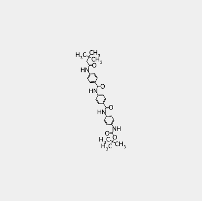 CC(C)(C)CC(=O)Nc1ccc(C(=O)Nc2ccc(C(=O)Nc3ccc(NC(=O)OC(C)(C)C)cc3)cc2)cc1